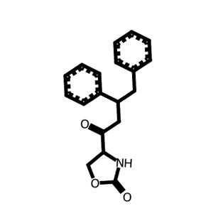 O=C1NC(C(=O)CC(Cc2ccccc2)c2ccccc2)CO1